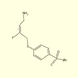 CCC(C)S(=O)(=O)c1ccc(SC/C(F)=C\CN)cc1